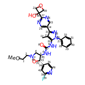 COCCN1C[C@@H](NC(=O)Nc2c(C)c(-c3cnc(C4(O)COC4)nc3)nn2-c2ccccc2)[C@H](c2ccnc(F)c2)O1